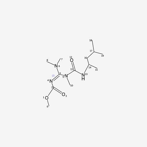 COC(=O)/N=C(/N(C)C)N(C)C(=O)NC(C)CC(C)C